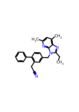 CCc1nc2c(C)cc(C)nc2n1Cc1ccc(-c2ccccc2)c(CC#N)c1